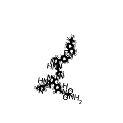 Cc1cc(-c2c(Cn3cc(-c4nc5c(-c6ccc(CN7CCc8cc(C(C)(C)C)ccc8C7)c(F)c6)ccnc5[nH]4)cn3)cnc3[nH]c(-c4cnn(C)c4)nc23)ccc1CNC(=O)C(N)=O